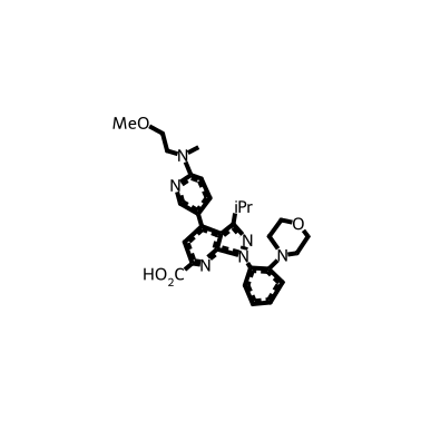 COCCN(C)c1ccc(-c2cc(C(=O)O)nc3c2c(C(C)C)nn3-c2ccccc2N2CCOCC2)cn1